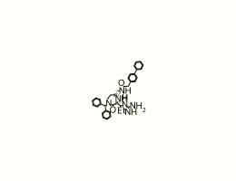 CCC(NC(=N)N)[C@@H]1N[C@@H](CNC(=O)Cc2ccc(-c3ccccc3)cc2)CCN(C(c2ccccc2)c2ccccc2)C1=O